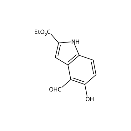 CCOC(=O)c1cc2c(C=O)c(O)ccc2[nH]1